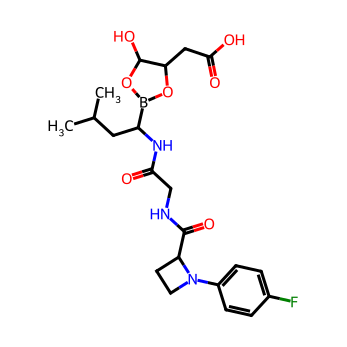 CC(C)CC(NC(=O)CNC(=O)C1CCN1c1ccc(F)cc1)B1OC(O)C(CC(=O)O)O1